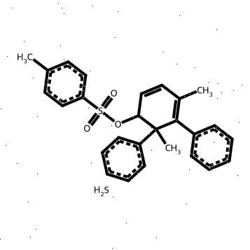 CC1=C(c2ccccc2)C(C)(c2ccccc2)C(OS(=O)(=O)c2ccc(C)cc2)C=C1.S